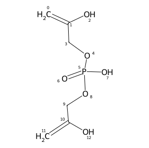 C=C(O)COP(=O)(O)OCC(=C)O